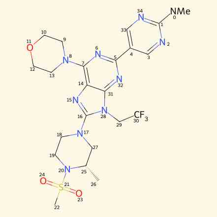 CNc1ncc(-c2nc(N3CCOCC3)c3nc(N4CCN(S(C)(=O)=O)[C@@H](C)C4)n(CC(F)(F)F)c3n2)cn1